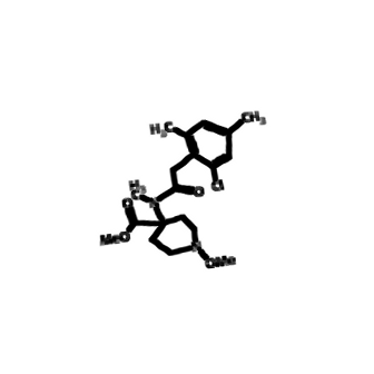 COC(=O)C1(N(C)C(=O)Cc2c(C)cc(C)cc2Cl)CCN(OC)CC1